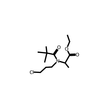 CCOC(=O)C(C)N(CCCCl)C(=O)C(C)(C)C